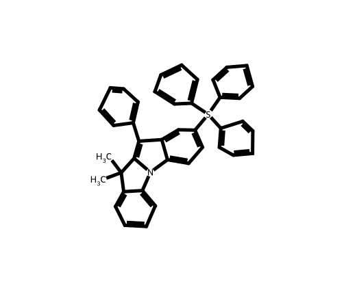 CC1(C)c2ccccc2-n2c1c(-c1ccccc1)c1cc(S(c3ccccc3)(c3ccccc3)c3ccccc3)ccc12